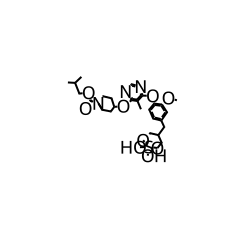 COc1cc(CC2COS(O)(O)OC2)ccc1Oc1ncnc(OC2CCN(C(=O)OCC(C)C)CC2)c1C